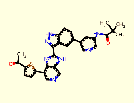 CC(=O)c1ccc(-c2cncc3[nH]c(-c4n[nH]c5ccc(-c6cncc(NC(=O)C(C)(C)C)c6)cc45)nc23)s1